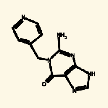 Nc1nc2[nH]cnc2c(=O)n1Cc1ccncc1